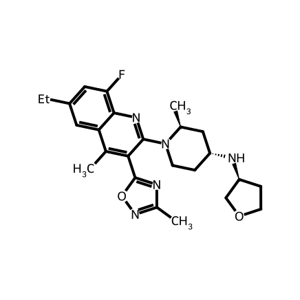 CCc1cc(F)c2nc(N3CC[C@@H](N[C@H]4CCOC4)C[C@@H]3C)c(-c3nc(C)no3)c(C)c2c1